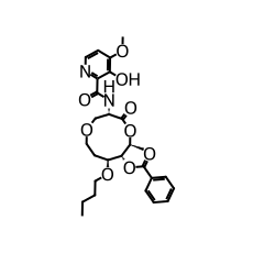 CCCCO[C@H]1CCOC[C@H](NC(=O)c2nccc(OC)c2O)C(=O)O[C@@H](C)[C@@H]1OC(=O)c1ccccc1